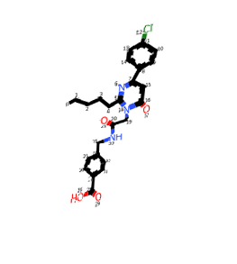 CCCCCc1nc(-c2ccc(Cl)cc2)cc(=O)n1CC(=O)NCc1ccc(C(=O)O)cc1